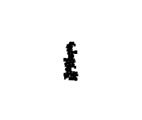 Cc1c(-c2nc3cc(CN4CCC[C@H]4C(=O)O)c(OC(F)F)cc3o2)cccc1-c1cccc(-c2nc3cc(CN4CCN(C)CC4)cc(C#N)c3o2)c1C